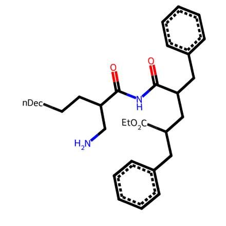 CCCCCCCCCCCCC(CN)C(=O)NC(=O)C(Cc1ccccc1)CC(Cc1ccccc1)C(=O)OCC